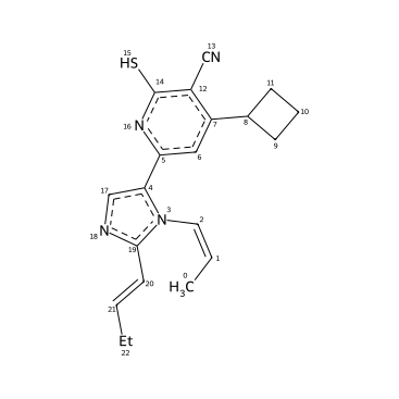 C/C=C\n1c(-c2cc(C3CCC3)c(C#N)c(S)n2)cnc1/C=C/CC